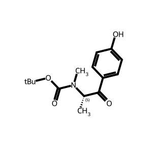 C[C@@H](C(=O)c1ccc(O)cc1)N(C)C(=O)OC(C)(C)C